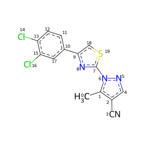 Cc1c(C#N)cnn1-c1nc(-c2ccc(Cl)c(Cl)c2)cs1